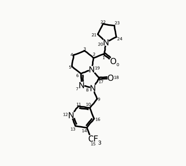 O=C(C1CCCc2nn(Cc3cncc(C(F)(F)F)c3)c(=O)n21)N1CCCC1